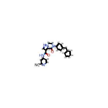 N#Cc1cc(NC(=O)c2cnn3c2C(=O)N(c2ccc(Cc4ccccc4)cc2)CC3)ccn1